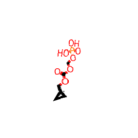 O=C(OCOP(=O)(O)O)OC[C]1CC1